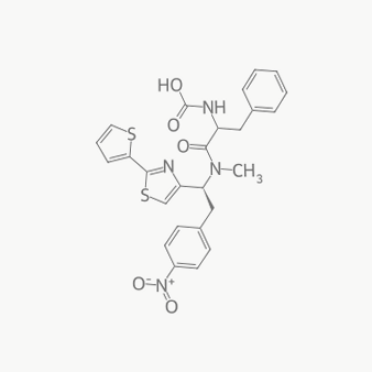 CN(C(=O)C(Cc1ccccc1)NC(=O)O)[C@@H](Cc1ccc([N+](=O)[O-])cc1)c1csc(-c2cccs2)n1